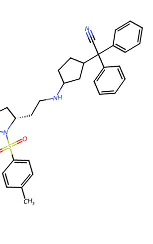 Cc1ccc(S(=O)(=O)N2CCC[C@@H]2CCNC2CCC(C(C#N)(c3ccccc3)c3ccccc3)C2)cc1